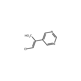 O=C(O)C(=CCl)c1cncnc1